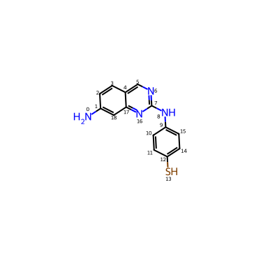 Nc1ccc2cnc(Nc3ccc(S)cc3)nc2c1